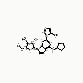 Cc1cnnn1-c1nc(NC2CCCC2)c2ncn(C3O[C@H](CO)[C@@H](O)[C@@H]3O)c2n1